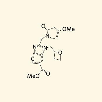 COC(=O)c1ccc2nc(CN3CC=C(OC)CC3=O)n(CC3CCO3)c2c1